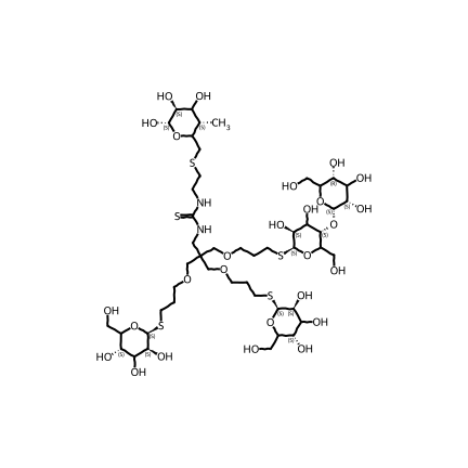 C[C@@H]1C(CSCCNC(=S)NCC(COCCCS[C@@H]2OC(CO)[C@@H](O)C(O)[C@@H]2O)(COCCCS[C@@H]2OC(CO)[C@@H](O)C(O)[C@@H]2O)COCCCS[C@@H]2OC(CO)[C@@H](O[C@@H]3OC(CO)[C@H](O)C(O)[C@@H]3O)C(O)[C@@H]2O)O[C@H](O)[C@@H](O)C1O